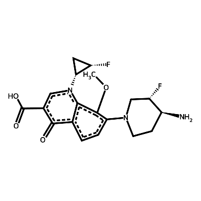 COc1c(N2CC[C@H](N)[C@@H](F)C2)ccc2c(=O)c(C(=O)O)cn([C@@H]3C[C@@H]3F)c12